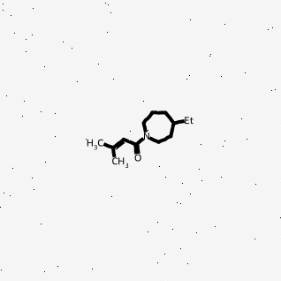 CCC1CCCN(C(=O)C=C(C)C)CC1